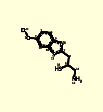 CCOc1ccc2nc(CC(S)CN)sc2c1